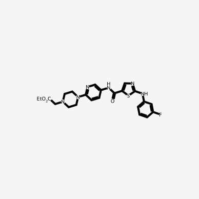 CCOC(=O)CN1CCN(c2ccc(NC(=O)c3cnc(Nc4cccc(F)c4)s3)cn2)CC1